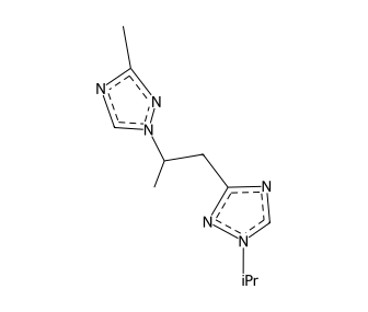 Cc1ncn(C(C)Cc2ncn(C(C)C)n2)n1